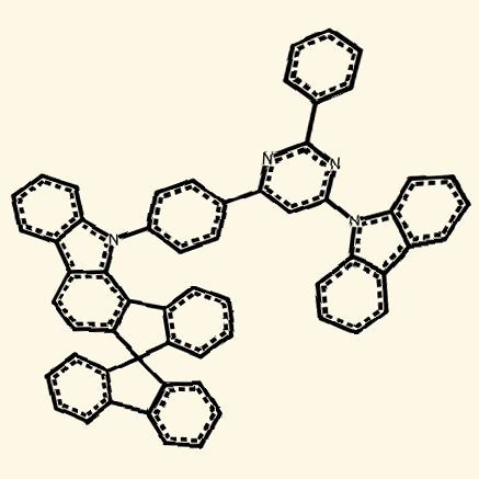 c1ccc(-c2nc(-c3ccc(-n4c5ccccc5c5ccc6c(c54)-c4ccccc4C64c5ccccc5-c5ccccc54)cc3)cc(-n3c4ccccc4c4ccccc43)n2)cc1